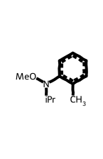 CON(c1ccccc1C)C(C)C